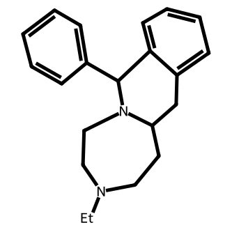 CCN1CCC2Cc3ccccc3C(c3ccccc3)N2CC1